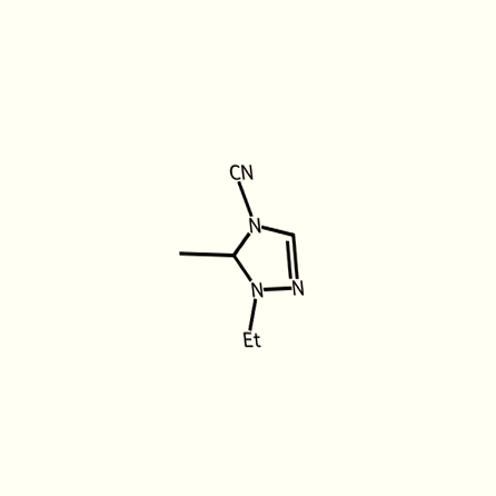 CCN1N=CN(C#N)C1C